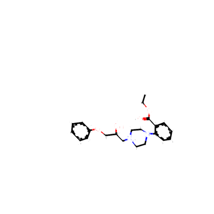 CCOC(=O)c1ccccc1N1CCN(CC(O)COc2ccccc2)CC1